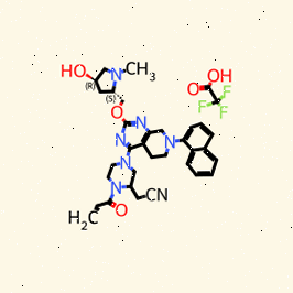 C=CC(=O)N1CCN(c2nc(OC[C@@H]3C[C@@H](O)CN3C)nc3c2CCN(c2cccc4ccccc24)C3)CC1CC#N.O=C(O)C(F)(F)F